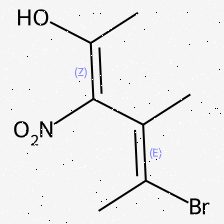 C/C(O)=C(\C(C)=C(/C)Br)[N+](=O)[O-]